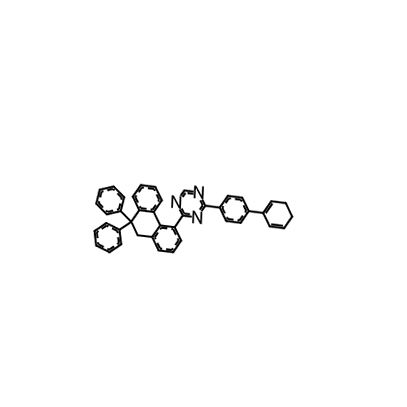 C1=CC(c2ccc(-c3ncnc(-c4cccc5c4-c4ccccc4C(c4ccccc4)(c4ccccc4)C5)n3)cc2)=CCC1